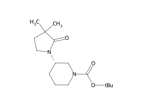 CC(C)(C)OC(=O)N1CCC[C@H](N2CCC(C)(C)C2=O)C1